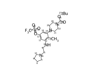 Cc1c(NCCN2CCCC2)cc(OS(=O)(=O)C(F)(F)F)cc1N1CCN(C(=O)OC(C)(C)C)CC1